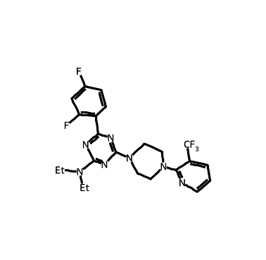 CCN(CC)c1nc(-c2ccc(F)cc2F)nc(N2CCN(c3ncccc3C(F)(F)F)CC2)n1